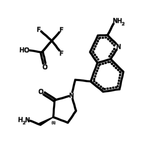 NC[C@@H]1CCN(Cc2cccc3nc(N)ccc23)C1=O.O=C(O)C(F)(F)F